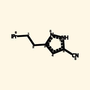 CC(C)CCc1cc(C#N)[nH]n1